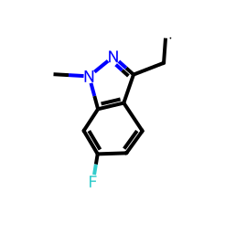 [CH2]Cc1nn(C)c2cc(F)ccc12